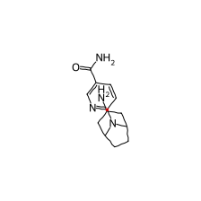 NC(=O)c1ccc(N2C3CCC2CC(N)C3)nc1